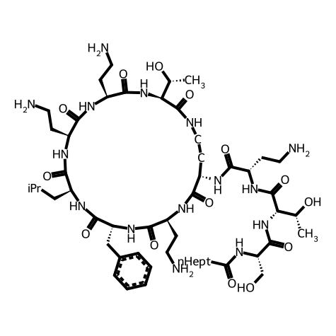 CCCCCCCC(=O)N[C@@H](CO)C(=O)N[C@H](C(=O)N[C@@H](CCN)C(=O)N[C@H]1CCNC(=O)[C@H]([C@@H](C)O)NC(=O)[C@H](CCN)NC(=O)[C@H](CCN)NC(=O)[C@H](CC(C)C)NC(=O)[C@@H](Cc2ccccc2)NC(=O)[C@H](CCN)NC1=O)[C@@H](C)O